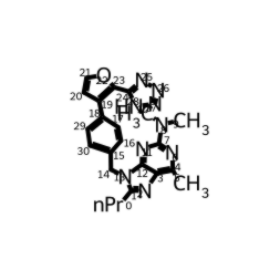 CCCc1nc2c(C)nc(N(C)C)nc2n1Cc1ccc(-c2ccoc2-c2nnn[nH]2)cc1